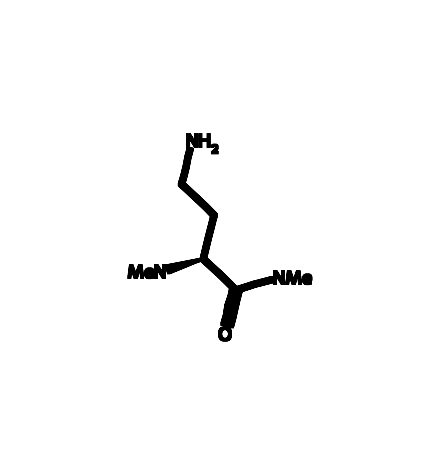 CNC(=O)[C@H](CCN)NC